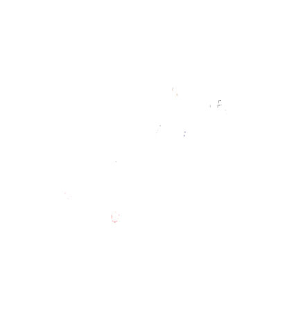 FC(F)(F)SC1(I)C=C(C2OCCO2)C=CC1